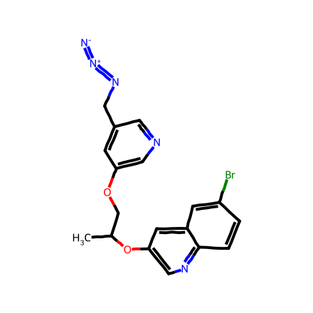 CC(COc1cncc(CN=[N+]=[N-])c1)Oc1cnc2ccc(Br)cc2c1